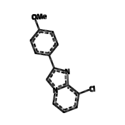 COc1ccc(-c2cn3cccc(Cl)c3n2)cc1